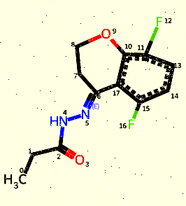 CCC(=O)N/N=C1\CCOc2c(F)ccc(F)c21